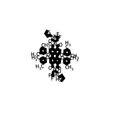 Cc1cc(C)cc(Oc2cc3c4c(cc(Oc5cc(C)cc(C)c5)c5c6c(Oc7cc(C)cc(C)c7)cc7c8c(cc(Oc9cc(C)cc(C)c9)c(c2c45)c86)C(=O)N(C(CC(F)(F)F)C(=O)Nc2cccs2)C7=O)C(=O)N(C(CC(F)(F)F)C(=O)Nc2cccs2)C3=O)c1